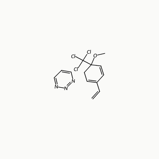 C=CC1=CCC(OC)(C(Cl)(Cl)Cl)C=C1.c1cnnnc1